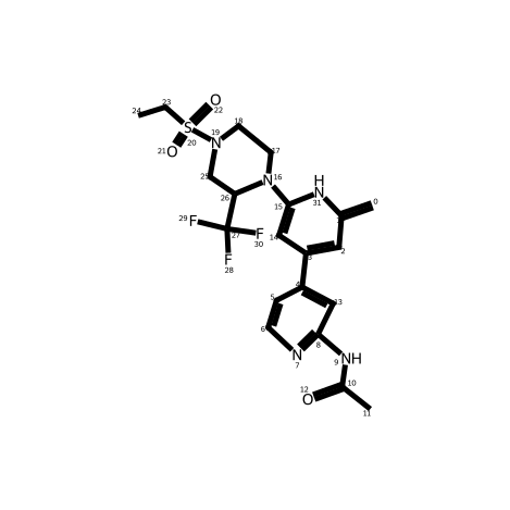 C=C1C=C(c2ccnc(NC(C)=O)c2)C=C(N2CCN(S(=O)(=O)CC)CC2C(F)(F)F)N1